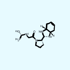 O=C(CN[C@@H](O)P)N1CCC[C@H]1[C@H]1N[C@H]2CC=CC[C@H]2N1